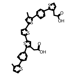 Cc1ccsc1-c1ccc(-c2sc(-c3ccc(-c4cc(C)c(-c5ccc(-c6sccc6CC(=O)O)cc5)s4)s3)cc2CC(=O)O)cc1